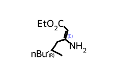 CCCC[C@@H](C)C/C(N)=C\C(=O)OCC